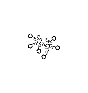 CO[C@H]1O[C@H](COC2O[C@H](COCc3ccccc3)[C@@H](OCc3ccccc3)[C@H](OCc3ccccc3)[C@H]2C(F)(F)F)[C@@H](OCc2ccccc2)C(OCc2ccccc2)[C@H]1OCc1ccccc1